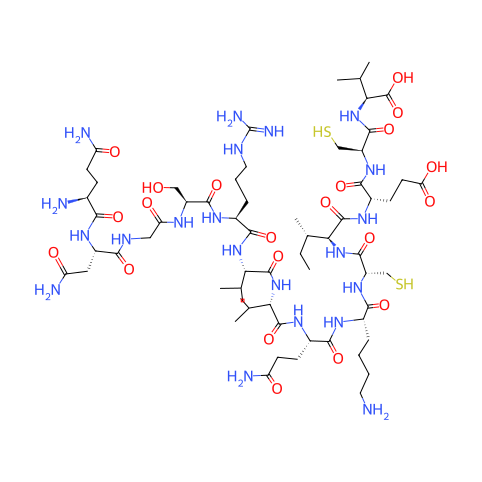 CC[C@H](C)[C@H](NC(=O)[C@H](CS)NC(=O)[C@H](CCCCN)NC(=O)[C@H](CCC(N)=O)NC(=O)[C@@H](NC(=O)[C@@H](NC(=O)[C@H](CCCNC(=N)N)NC(=O)[C@H](CO)NC(=O)CNC(=O)[C@H](CC(N)=O)NC(=O)[C@@H](N)CCC(N)=O)C(C)C)C(C)C)C(=O)N[C@@H](CCC(=O)O)C(=O)N[C@@H](CS)C(=O)N[C@H](C(=O)O)C(C)C